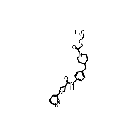 CCOCC(=O)N1CCC(Cc2ccc(NC(=O)C3CN(c4cccnn4)C3)cc2)CC1